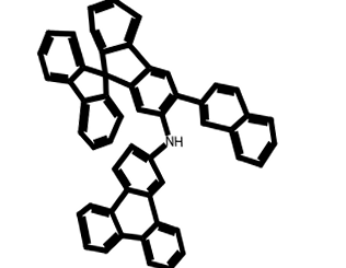 c1ccc2c(c1)-c1ccccc1C21c2ccccc2-c2cc(-c3ccc4ccccc4c3)c(Nc3ccc4c5ccccc5c5ccccc5c4c3)cc21